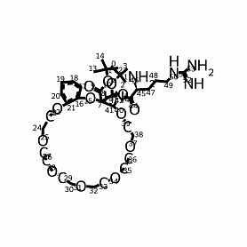 CC(C)(C)OC(=O)C1(C(=O)OC(C)(C)C)Oc2ccccc2OCCOCCOCCOCCOCCOCCOC1NC(=O)[C@@H](N)CCCNC(=N)N